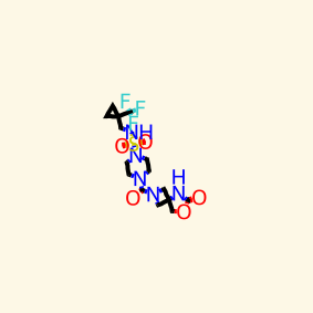 O=C1NC2(CO1)CN(C(=O)N1CCN(S(=O)(=O)NCC3(C(F)(F)F)CC3)CC1)C2